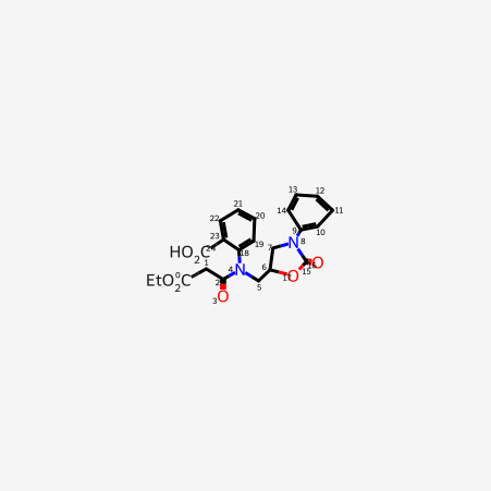 CCOC(=O)CC(=O)N(CC1CN(c2ccccc2)C(=O)O1)c1ccccc1C(=O)O